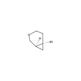 CC(C)[C@@]12CCOC[C@@H]1C2